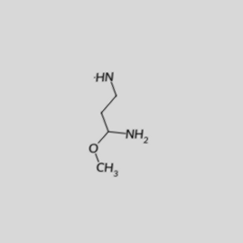 COC(N)CC[NH]